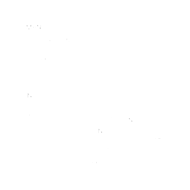 CNC(=O)OCc1nsc2ccc(-n3c(=O)cc(C(F)(F)F)n(C)c3=O)cc12